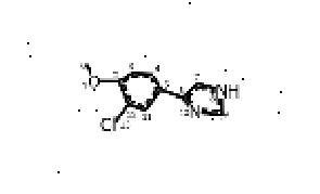 COc1ccc(-c2c[nH][c]n2)cc1Cl